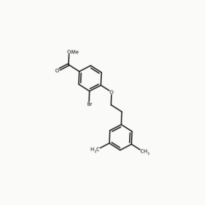 COC(=O)c1ccc(OCCc2cc(C)cc(C)c2)c(Br)c1